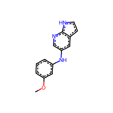 COc1cccc(Nc2cnc3[nH]ccc3c2)c1